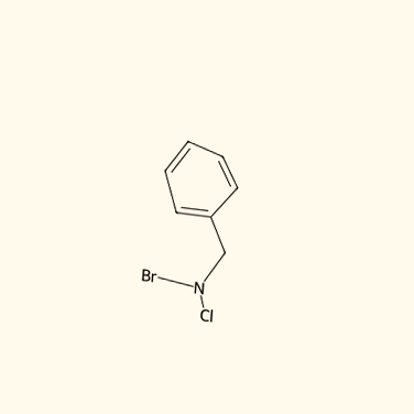 ClN(Br)Cc1ccccc1